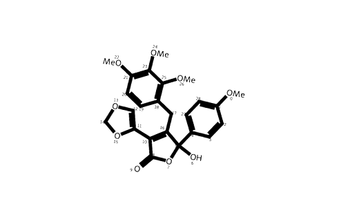 COc1ccc(C2(O)OC(=O)C(C3=COCO3)=C2Cc2ccc(OC)c(OC)c2OC)cc1